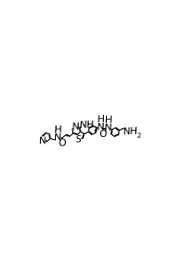 NCc1cccc(NC(=O)Nc2ccc(-c3csc4c(C=CC(=O)NCc5cccnc5)cnc(N)c34)cc2)c1